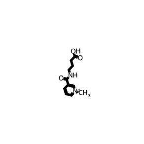 C[n+]1cccc(C(=O)NCCCC(=O)O)c1